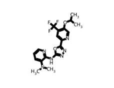 CC(C)Oc1cnc(-c2nnc(Nc3ncccc3N(C)C)o2)cc1C(F)(F)F